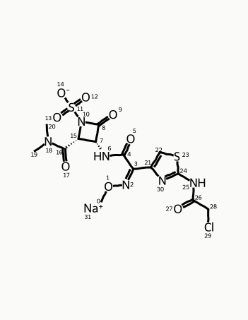 CON=C(C(=O)N[C@H]1C(=O)N(S(=O)(=O)[O-])[C@H]1C(=O)N(C)C)c1csc(NC(=O)CCl)n1.[Na+]